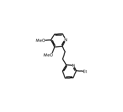 CCc1cccc(CCc2nccc(OC)c2OC)n1